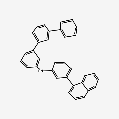 c1ccc(-c2cccc(-c3cccc(Nc4cccc(-c5cccc6ccccc56)c4)c3)c2)cc1